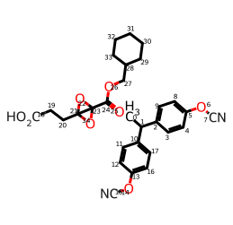 CC(c1ccc(OC#N)cc1)c1ccc(OC#N)cc1.O=C(O)CCC12OC1(C(=O)OCC1CCCCC1)O2